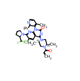 C=CC(=O)N1C[C@H](C)N(c2nc(=O)n(-c3c(C)ccnc3C(C)C)c3nc(N4CCCC4C(F)F)c(Cl)cc23)C[C@H]1C